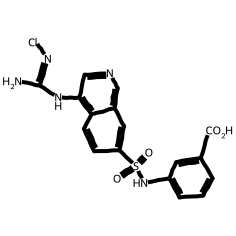 NC(=NCl)Nc1cncc2cc(S(=O)(=O)Nc3cccc(C(=O)O)c3)ccc12